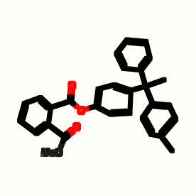 COC(=O)c1ccccc1C(=O)Oc1ccc(C(C)(c2ccccc2)c2ccc(C)cc2)cc1